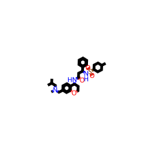 CC(C)CN(C)Cc1ccc2c(c1)OCCC2NC(=O)CC(NS(=O)(=O)C1CCC(C)CC1)c1ccccc1